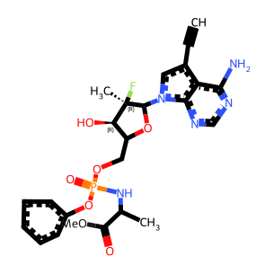 C#Cc1cn(C2OC(COP(=O)(NC(C)C(=O)OC)Oc3ccccc3)[C@@H](O)[C@@]2(C)F)c2ncnc(N)c12